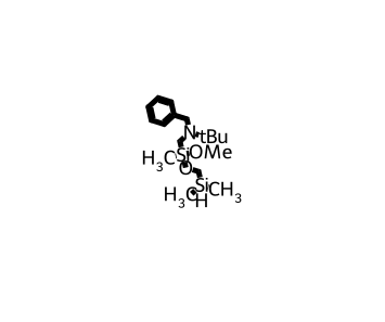 CO[Si](C)(CN(Cc1ccccc1)C(C)(C)C)OC[SiH](C)C